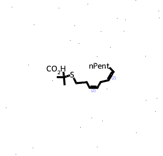 CCCCC/C=C\C/C=C\CCSC(C)(C)C(=O)O